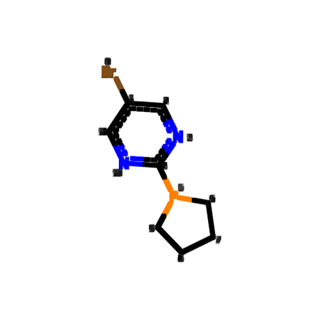 Brc1cnc(P2CCCC2)nc1